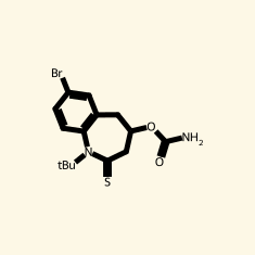 CC(C)(C)N1C(=S)CC(OC(N)=O)Cc2cc(Br)ccc21